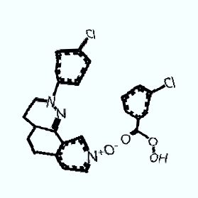 O=C(OO)c1cccc(Cl)c1.[O-][n+]1ccc2c(c1)C1=NN(c3ccc(Cl)cc3)CCC1CC2